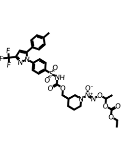 CCOC(=O)OC(C)ON=[N+]([O-])N1CCCC(COC(=O)NS(=O)(=O)c2ccc(-n3nc(C(F)(F)F)cc3-c3ccc(C)cc3)cc2)C1